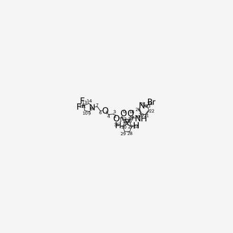 O=C(OCCOCCN1CCC(F)(F)C1)[C@H]1[C@H](C(=O)Nc2ccc(Br)nc2)[C@@H]2CC[C@H]1C21CC1